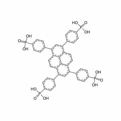 O=P(O)(O)c1ccc(-c2cc(-c3ccc(P(=O)(O)O)cc3)c3ccc4c(-c5ccc(P(=O)(O)O)cc5)cc(-c5ccc(P(=O)(O)O)cc5)c5ccc2c3c54)cc1